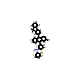 Cc1ccc2c(-c3ccc4c(c3)C(C)(C)c3ccccc3-4)c3ccccc3c(-c3ccc4c(c3)N(C)c3ccccc3S4)c2c1